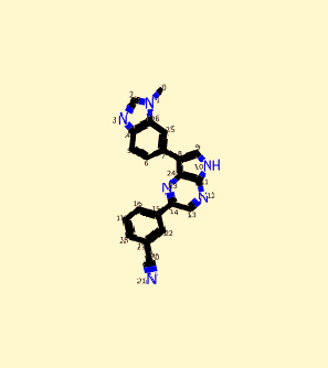 Cn1cnc2ccc(-c3c[nH]c4ncc(-c5cccc(C#N)c5)nc34)cc21